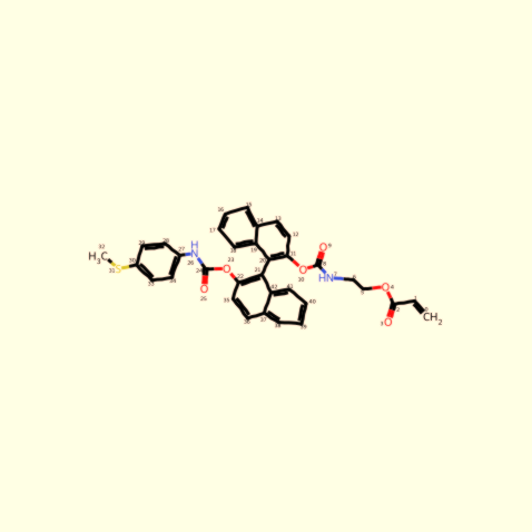 C=CC(=O)OCCNC(=O)Oc1ccc2ccccc2c1-c1c(OC(=O)Nc2ccc(SC)cc2)ccc2ccccc12